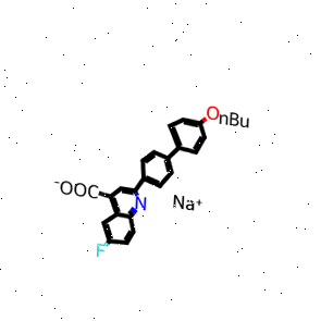 CCCCOc1ccc(-c2ccc(-c3cc(C(=O)[O-])c4cc(F)ccc4n3)cc2)cc1.[Na+]